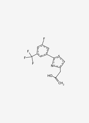 C=C(O)Cc1csc(-c2cc(F)cc(C(F)(F)F)c2)n1